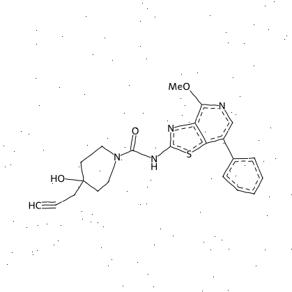 C#CCC1(O)CCN(C(=O)Nc2nc3c(OC)ncc(-c4ccccc4)c3s2)CC1